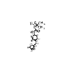 CC(C)(C)OC(=O)Nc1ccc(Cc2ncco2)cn1